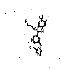 FCCCn1c(-c2cncc(Cn3cncc3Cl)c2)nc2cc(F)c(Cl)cc21